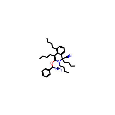 CCCCC1=C(OC(N)c2ccccc2)N(CCCC)C(C#N)(CCCC)c2cccc(CCCC)c21